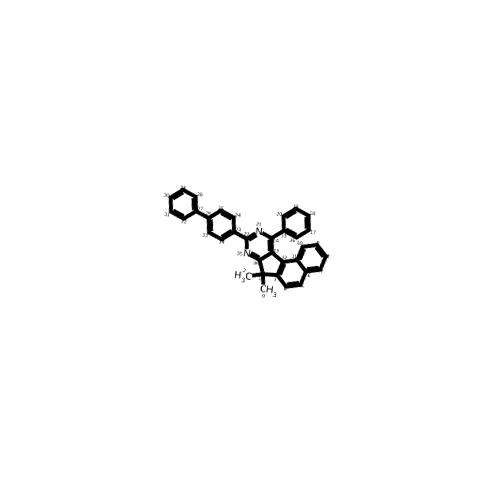 CC1(C)c2ccc3ccccc3c2-c2c(-c3ccccc3)nc(-c3ccc(-c4ccccc4)cc3)nc21